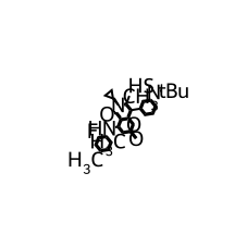 Cc1ccc(Nc2c(C)c(=O)oc3c(-c4cccc(N(S)C(C)(C)C)c4)c(C)n(C4CC4)c(=O)c23)c(F)c1